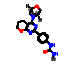 CCNC(=O)Nc1ccc(-c2nc3c(c(N4C[C@@H]5C[C@H]4CO5)n2)CCCO3)cc1